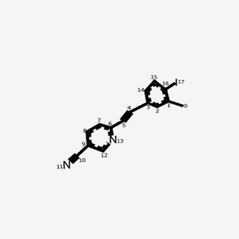 Cc1cc(C#Cc2ccc(C#N)cn2)ccc1I